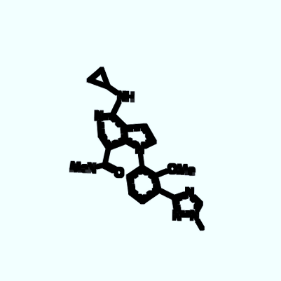 CNC(=O)c1cnc(NC2CC2)c2ccn(-c3cccc(-c4ncn(C)n4)c3OC)c12